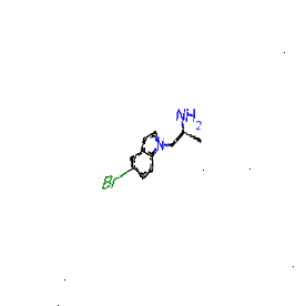 C[C@H](N)Cn1ccc2cc(Br)ccc21